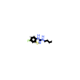 CCCCNC1=NSc2cc(F)ccc2N1